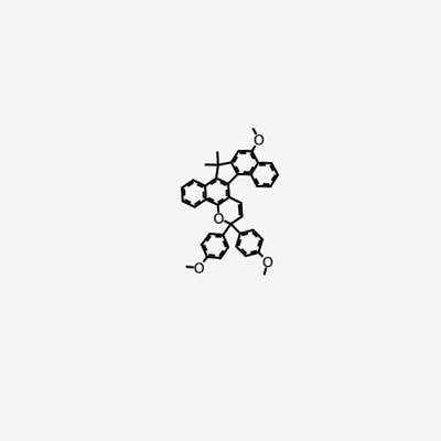 COc1ccc(C2(c3ccc(OC)cc3)C=Cc3c4c(c5ccccc5c3O2)C(C)(C)c2cc(OC)c3ccccc3c2-4)cc1